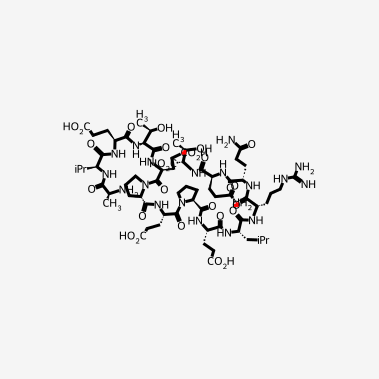 CC(C)C[C@H](NC(=O)[C@H](CCC(=O)O)NC(=O)[C@@H]1CCCN1C(=O)[C@H](CCC(=O)O)NC(=O)[C@@H]1CCCN1C(=O)[C@H](CCC(=O)O)NC(=O)[C@@H](NC(=O)[C@H](CCC(=O)O)NC(=O)[C@@H](NC(=O)[C@H](C)N)C(C)C)[C@@H](C)O)C(=O)N[C@@H](CCCNC(=N)N)C(=O)N[C@@H](CCC(N)=O)C(=O)N[C@@H](CCC(N)=O)C(=O)N[C@H](C(=O)O)[C@@H](C)O